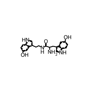 NC(Cc1c[nH]c2ccc(O)cc12)C(=O)NCCc1c[nH]c2ccc(O)cc12